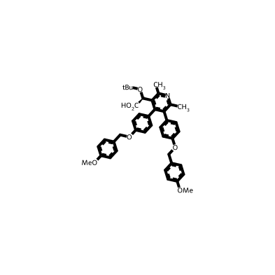 COc1ccc(COc2ccc(-c3c(C)nc(C)c([C@H](OC(C)(C)C)C(=O)O)c3-c3ccc(OCc4ccc(OC)cc4)cc3)cc2)cc1